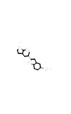 Nc1ccc2[nH]c(-c3cnc4[nH]ccc4c3)cc2c1